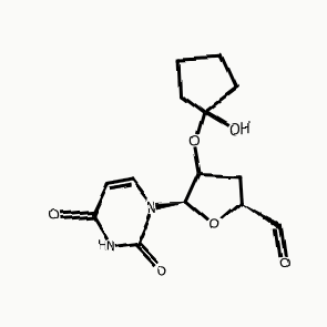 O=C[C@@H]1CC(OC2(O)CCCC2)[C@H](n2ccc(=O)[nH]c2=O)O1